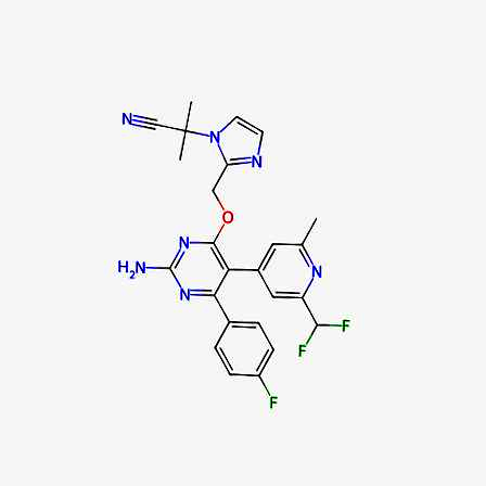 Cc1cc(-c2c(OCc3nccn3C(C)(C)C#N)nc(N)nc2-c2ccc(F)cc2)cc(C(F)F)n1